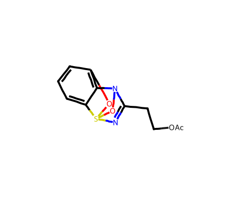 CC(=O)OCCC1=NS23Oc4cccc2c4N1O3